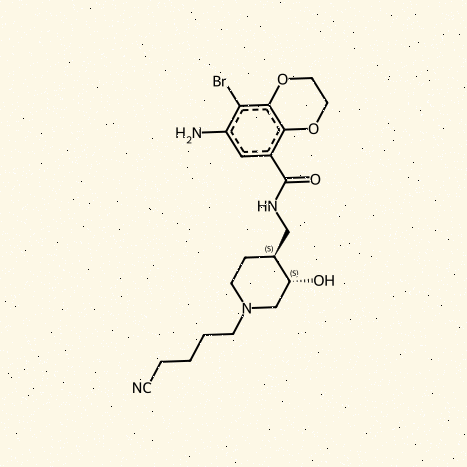 N#CCCCCN1CC[C@@H](CNC(=O)c2cc(N)c(Br)c3c2OCCO3)[C@H](O)C1